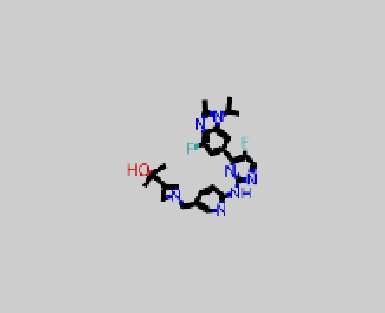 Cc1nc2c(F)cc(-c3nc(Nc4ccc(CN5CC(C(C)(C)O)C5)cn4)ncc3F)cc2n1C(C)C